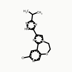 CC(C)c1n[nH]c(-c2cn3c(n2)-c2cc(Cl)ncc2OCC3)n1